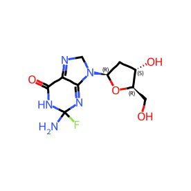 NC1(F)N=C2C(=NCN2[C@H]2C[C@H](O)[C@@H](CO)O2)C(=O)N1